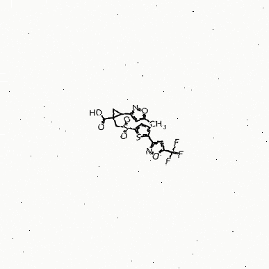 Cc1cc(C2CC2(CS(=O)(=O)c2ccc(-c3cc(C(F)(F)F)on3)s2)C(=O)O)no1